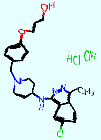 Cc1nnc(NC2CCN(Cc3ccc(OCCCO)cc3)CC2)c2cc(Cl)ccc12.Cl.Cl